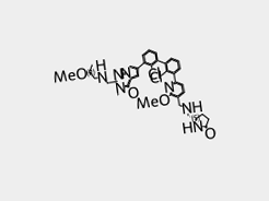 COc1nc(-c2cccc(-c3cccc(-c4cc5c(=O)n(C)c(CNC[C@@H](C)OC)nn5c4)c3Cl)c2Cl)ccc1CNC[C@@H]1CCC(=O)N1